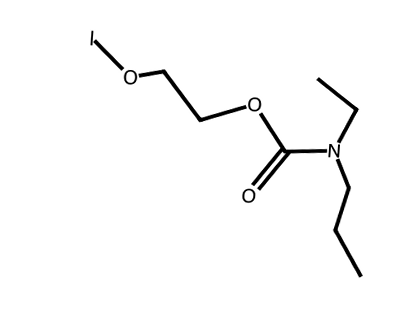 CCCN(CC)C(=O)OCCOI